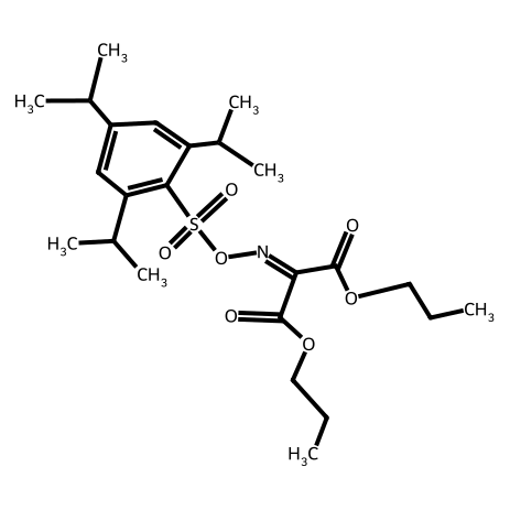 CCCOC(=O)C(=NOS(=O)(=O)c1c(C(C)C)cc(C(C)C)cc1C(C)C)C(=O)OCCC